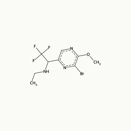 CCNC(c1cnc(OC)c(Br)n1)C(F)(F)F